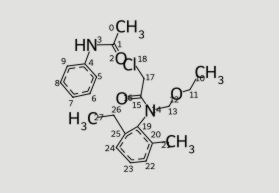 CC(=O)Nc1ccccc1.CCOCN(C(=O)CCl)c1c(C)cccc1CC